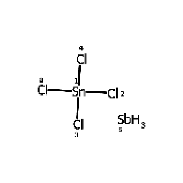 [Cl][Sn]([Cl])([Cl])[Cl].[SbH3]